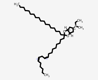 CCCCC/C=C\C/C=C\CCCCCCCCC1(CCCCCCCCCCCCCCCCCC)O[C@H]2C[C@H](N(C)CC)C[C@H]2O1